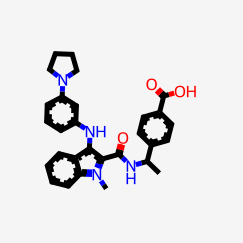 CC(NC(=O)c1c(Nc2cccc(N3CCCC3)c2)c2ccccc2n1C)c1ccc(C(=O)O)cc1